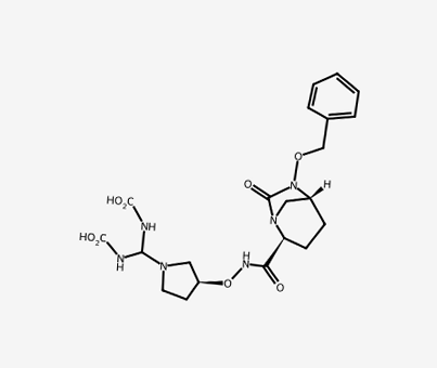 O=C(O)NC(NC(=O)O)N1CC[C@H](ONC(=O)[C@@H]2CC[C@@H]3CN2C(=O)N3OCc2ccccc2)C1